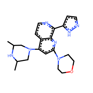 CC1CN(c2cc(N3CCOCC3)nc3c(-c4ccn[nH]4)nccc23)CC(C)N1